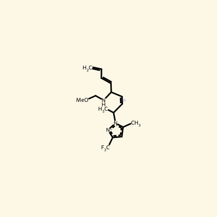 C=CC=CC(/C=C\C(C)n1nc(C(F)(F)F)cc1C)NCOC